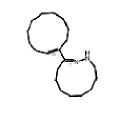 C1=C(/C2=N\NCCCCCCCC2)CCCCCCCCC/1